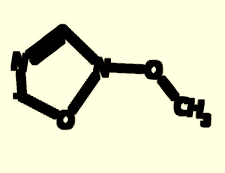 CON1C=N[CH]O1